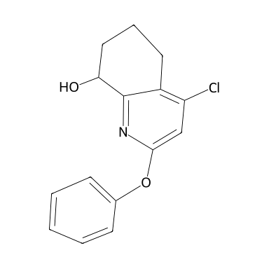 OC1CCCc2c(Cl)cc(Oc3ccccc3)nc21